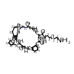 NCCOCCNC(=O)[C@@H]1CCNC(=O)/C=C/C(=O)N2CCCC[C@H]2C(=O)N[C@@H](Cc2ccco2)C(=O)NCc2ccccc2CC(=O)N1